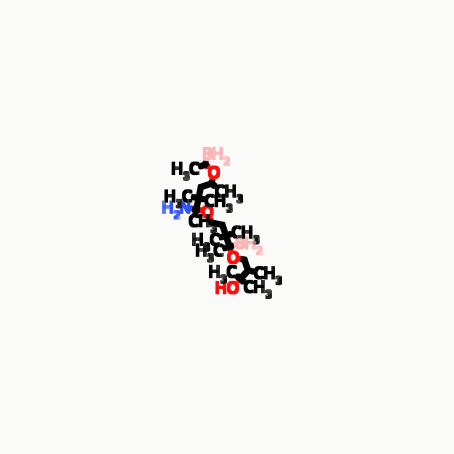 BC(C)OC(C)CC(C)(C)C(C)(N)OCCC(C)(C)C(B)(C)OCC(C)C(C)(C)O